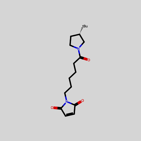 CC(C)(C)[C@H]1CCN(C(=O)CCCCCN2C(=O)C=CC2=O)C1